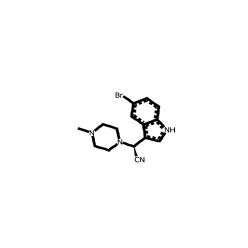 CN1CCN([C@H](C#N)c2c[nH]c3ccc(Br)cc23)CC1